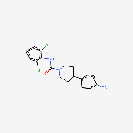 Nc1ccc(C2CCN(C(=O)Nc3c(Cl)cccc3Cl)CC2)cc1